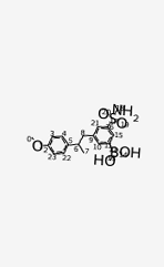 COc1ccc(C(C)Cc2cc(B(O)O)cc(S(N)(=O)=O)c2)cc1